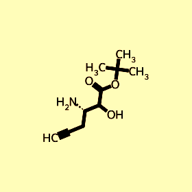 C#CC[C@H](N)C(O)C(=O)OC(C)(C)C